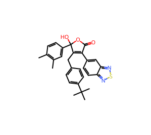 Cc1ccc(C2(O)OC(=O)C(c3ccc4nsnc4c3)=C2Cc2ccc(C(C)(C)C)cc2)cc1C